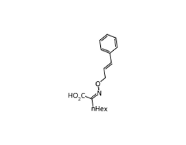 CCCCCCC(=NOCC=Cc1ccccc1)C(=O)O